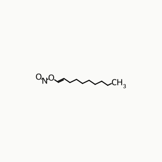 CCCCCCCCC=CON=O